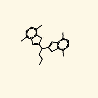 CCCC(C1=Cc2c(C)ccc(C)c2[CH]1)C1=Cc2c(C)ccc(C)c2[CH]1